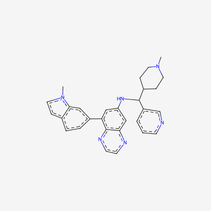 CN1CCC(C(Nc2cc(-c3ccc4ccn(C)c4c3)c3nccnc3c2)c2cccnc2)CC1